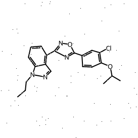 CCCn1ncc2c(-c3noc(-c4ccc(OC(C)C)c(Cl)c4)n3)cccc21